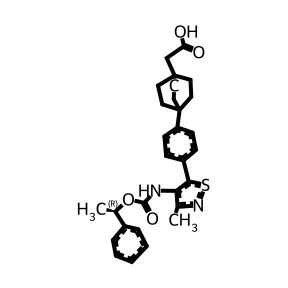 Cc1nsc(-c2ccc(C34CCC(CC(=O)O)(CC3)CC4)cc2)c1NC(=O)O[C@H](C)c1ccccc1